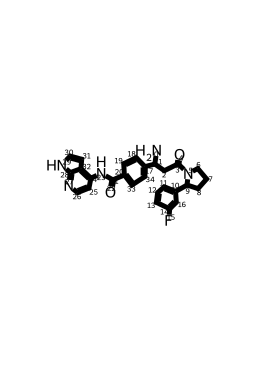 NC(CC(=O)N1CCCC1c1cccc(F)c1)c1ccc(C(=O)Nc2ccnc3[nH]ccc23)cc1